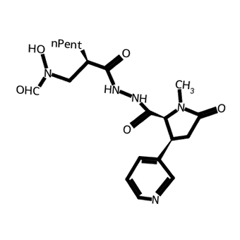 CCCCC[C@H](CN(O)C=O)C(=O)NNC(=O)[C@@H]1[C@H](c2cccnc2)CC(=O)N1C